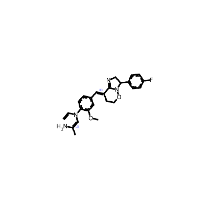 C=CN(/C=C(/C)N)c1ccc(/C=C2\CCON3C2=NCC3c2ccc(F)cc2)cc1OC